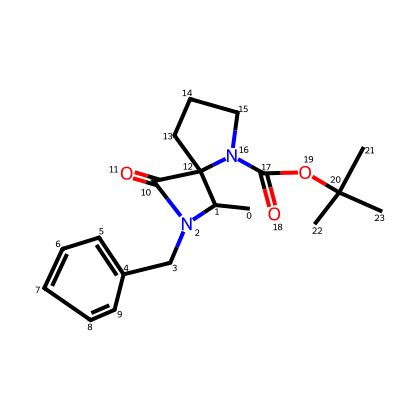 CC1N(Cc2ccccc2)C(=O)C12CCCN2C(=O)OC(C)(C)C